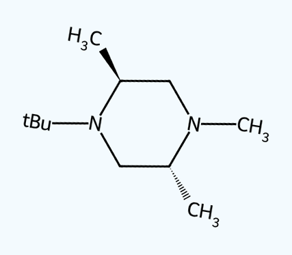 C[C@@H]1CN(C(C)(C)C)[C@@H](C)CN1C